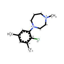 Cc1cc(N2CCCN(C)CC2)c(Cl)c(C(F)(F)F)c1